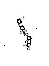 CC(Oc1ccc(CC2SC(=O)NC2=O)cc1)c1nc2ccc(Sc3ccc(O)cc3)cc2[nH]1